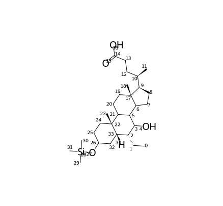 CC[C@H]1C(O)C2C3CC[C@H]([C@H](C)CCC(=O)O)[C@@]3(C)CCC2[C@@]2(C)CCC(O[Si](C)(C)C)C[C@@H]12